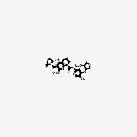 CO[C@H]1COCC1Oc1cc(NC(=O)N2CCCc3cc(CN4C(=O)OC[C@@H]4C)c(C=O)nc32)ncc1C#N